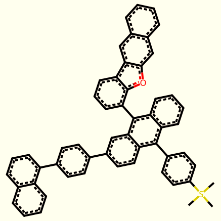 CS(C)(C)c1ccc(-c2c3ccccc3c(-c3cccc4c3oc3cc5ccccc5cc34)c3cc(-c4ccc(-c5cccc6ccccc56)cc4)ccc23)cc1